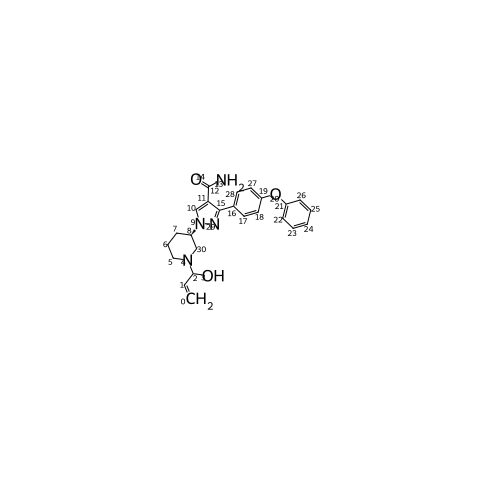 C=CC(O)N1CCC[C@@H](n2cc(C(N)=O)c(-c3ccc(Oc4ccccc4)cc3)n2)C1